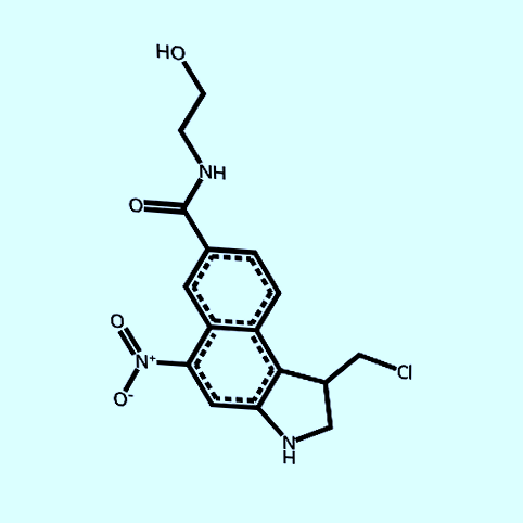 O=C(NCCO)c1ccc2c3c(cc([N+](=O)[O-])c2c1)NCC3CCl